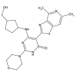 Cc1cc2sc(-c3c(NC4CCC(CO)C4)nc(N4CCOCC4)[nH]c3=O)nc2c(C)n1